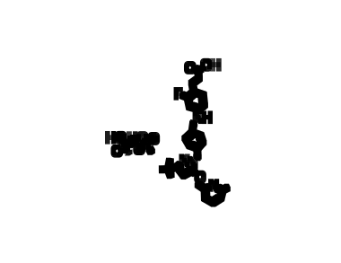 CS(=O)(=O)O.CS(=O)(=O)O.Cc1cccc(COc2cc(C(C)(C)C)nn2Cc2ccc(CNc3ccc(CCC(=O)O)c(F)c3)cc2)n1